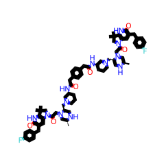 C[C@@H]1CN(CC(=O)N2CC(C)(C)c3[nH]c(=O)c(Cc4ccc(F)cc4)cc32)[C@@H](CN2CCC[C@@H](NC(=O)Cc3ccc(CC(=O)N[C@@H]4CCCN(C[C@H]5CN[C@H](C)CN5CC(=O)N5CC(C)(C)c6[nH]c(=O)c(Cc7ccc(F)cc7)cc65)C4)cc3)C2)CN1